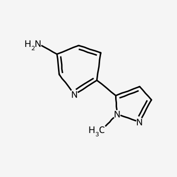 Cn1nccc1-c1ccc(N)cn1